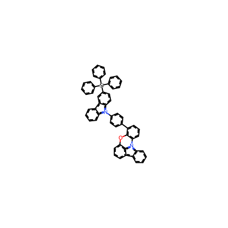 c1ccc([Si](c2ccccc2)(c2ccccc2)c2ccc3c(c2)c2ccccc2n3-c2ccc(-c3cccc4c3Oc3cccc5c6ccccc6n-4c35)cc2)cc1